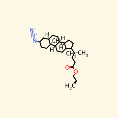 C=CCOC(=O)CC[C@@H](C)C1CC[C@H]2[C@@H]3CC[C@@H]4C[C@H](N=[N+]=[N-])CC[C@]4(C)[C@H]3CC[C@]12C